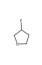 FC1[CH]OCC1